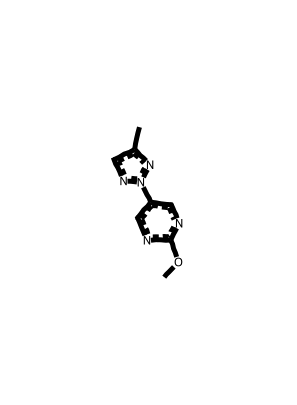 COc1ncc(-n2ncc(C)n2)cn1